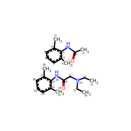 CC(=O)Nc1c(C)cccc1C.CCN(CC)CC(=O)Nc1c(C)cccc1C